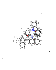 CC1(C)c2ccccc2-c2c(-c3ccccc3N(c3ccccc3-c3ccccc3)c3ccccc3-n3c4ccccc4c4ccccc43)cccc21